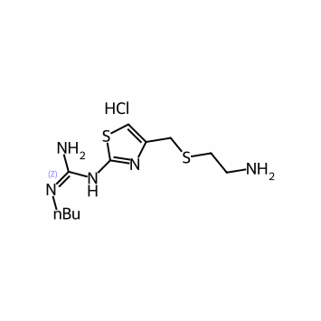 CCCC/N=C(/N)Nc1nc(CSCCN)cs1.Cl